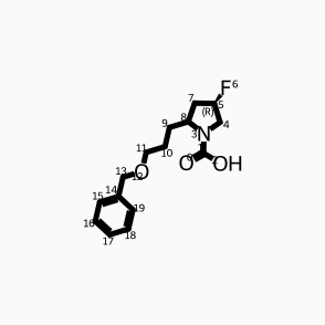 O=C(O)N1C[C@H](F)CC1CCCOCc1ccccc1